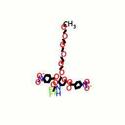 COCCOCCOCCOCCOCCOC[C@@H]1OC(OC(=O)c2ccc([N+](=O)[O-])cc2)C[C@H](NC(=O)C(F)(F)F)[C@@H]1OC(=O)c1ccc([N+](=O)[O-])cc1